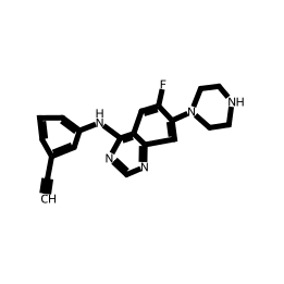 C#Cc1cccc(Nc2ncnc3cc(N4CCNCC4)c(F)cc23)c1